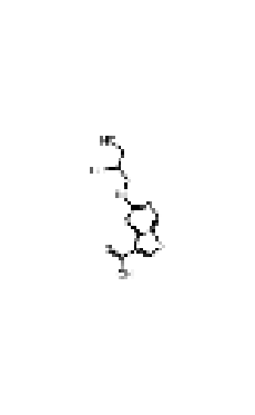 O=C(O)c1csc2cnc(NCC(O)CO)nc12